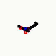 CCOCCNC(=O)C(C)OCCCCCC(C)C